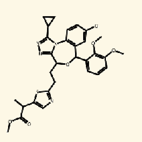 COC(=O)C(C)c1cnc(CCC2OC(c3cccc(OC)c3OC)c3cc(Cl)ccc3-n3c(C4CC4)nnc32)s1